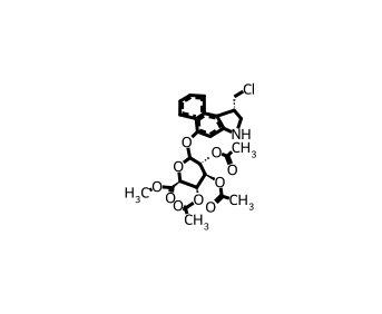 COC(=O)[C@H]1OC(Oc2cc3c(c4ccccc24)[C@H](CCl)CN3)[C@H](OC(C)=O)[C@@H](OC(C)=O)[C@@H]1OC(C)=O